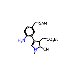 CCOC(=O)CC1C(c2cc(CSC)ccc2N)=CN(C)C1C#N